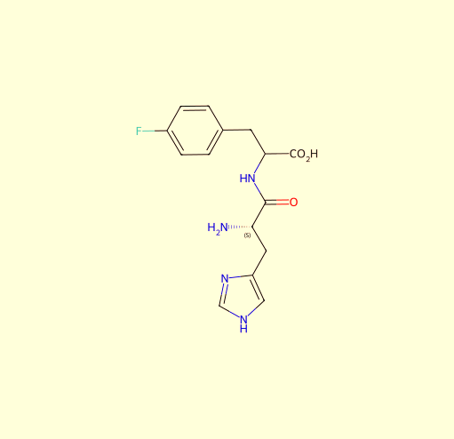 N[C@@H](Cc1c[nH]cn1)C(=O)NC(Cc1ccc(F)cc1)C(=O)O